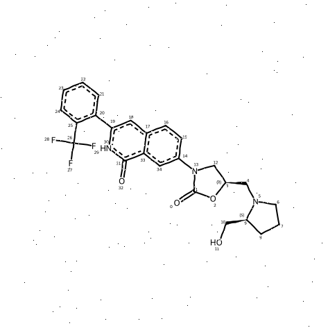 O=C1O[C@H](CN2CCC[C@H]2CO)CN1c1ccc2cc(-c3ccccc3C(F)(F)F)[nH]c(=O)c2c1